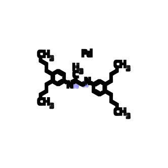 CCCCc1ccc(/N=C/C(C)=N/c2ccc(CCCC)c(CCCC)c2)cc1CCCC.[Pd]